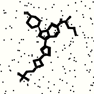 COC[C@H](C)Nc1ncc2c(-c3cnn(C4CN(CCC(F)(F)F)C4)c3)cc([C@H]3CC[C@H](O)CC3)n2n1